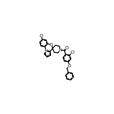 O=C(c1ccc(OCc2ccccc2)cc1Cl)N1CCC2(CC1)Oc1cc(Cl)ccc1-n1cccc12